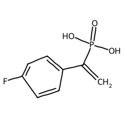 C=C(c1ccc(F)cc1)P(=O)(O)O